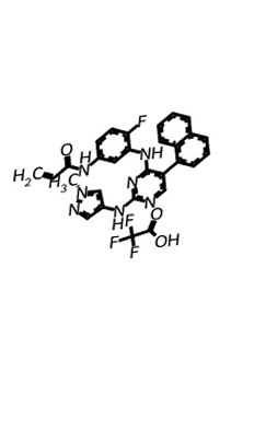 C=CC(=O)Nc1ccc(F)c(Nc2nc(Nc3cnn(C)c3)ncc2-c2cccc3ccccc23)c1.O=C(O)C(F)(F)F